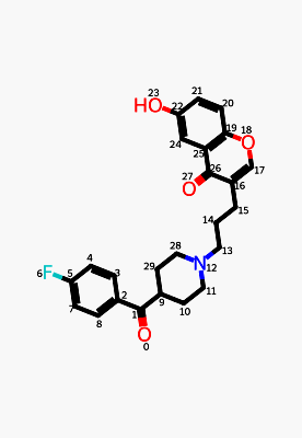 O=C(c1ccc(F)cc1)C1CCN(CCCc2coc3ccc(O)cc3c2=O)CC1